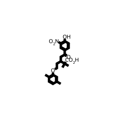 Cc1ccc(C)c(OCCC(CC(=O)c2ccc(O)c([N+](=O)[O-])c2)C(C)(C)C(=O)O)c1